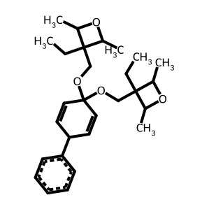 CCC1(COC2(OCC3(CC)C(C)OC3C)C=CC(c3ccccc3)C=C2)C(C)OC1C